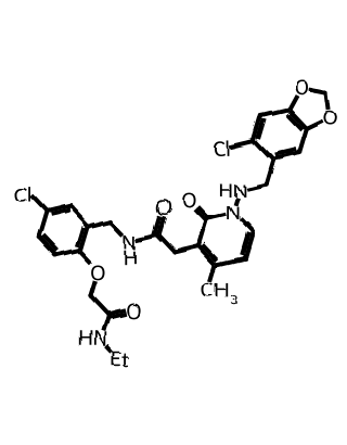 CCNC(=O)COc1ccc(Cl)cc1CNC(=O)Cc1c(C)ccn(NCc2cc3c(cc2Cl)OCO3)c1=O